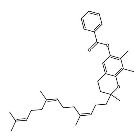 CC(C)=CCCC(C)=CCCC(C)=CCCC1(C)CCc2cc(OC(=O)c3ccccc3)c(C)c(C)c2O1